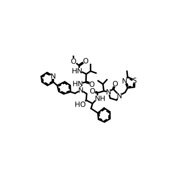 COC(=O)NC(C(=O)NN(Cc1ccc(-c2ccccn2)cc1)CC(O)C(Cc1ccccc1)NC(=O)C(C(C)C)N1CCN(Cc2csc(C)n2)C1=O)C(C)C